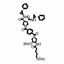 CCCCCCCCCCCCCCC(=O)N[C@@H]1CN(C(=O)c2ccc(C(=O)N3C[C@@H](C(=O)N[C@H]4C[C@@H]4c4ccccc4)[C@H](C(=O)N[C@H]4C[C@@H]4c4ccccc4)C3)cc2)C[C@@H]1OC